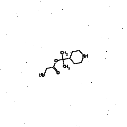 CC(C)(C)CC(=O)OC(C)(C)C1CCNCC1